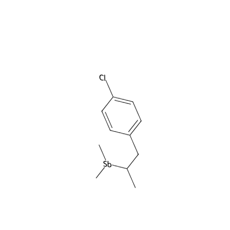 C[CH](Cc1ccc(Cl)cc1)[Sb]([CH3])[CH3]